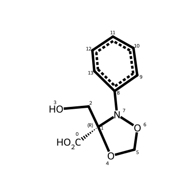 O=C(O)[C@@]1(CO)OCON1c1ccccc1